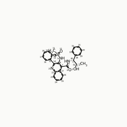 C[C@H](O)[C@H](NC(=O)c1c(NS(C)(=O)=O)c(-c2ccccc2)nc2ccccc12)c1ccccc1